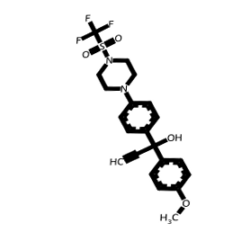 C#CC(O)(c1ccc(OC)cc1)c1ccc(N2CCN(S(=O)(=O)C(F)(F)F)CC2)cc1